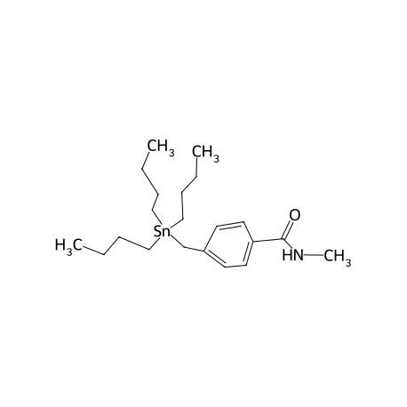 CCC[CH2][Sn]([CH2]CCC)([CH2]CCC)[CH2]c1ccc(C(=O)NC)cc1